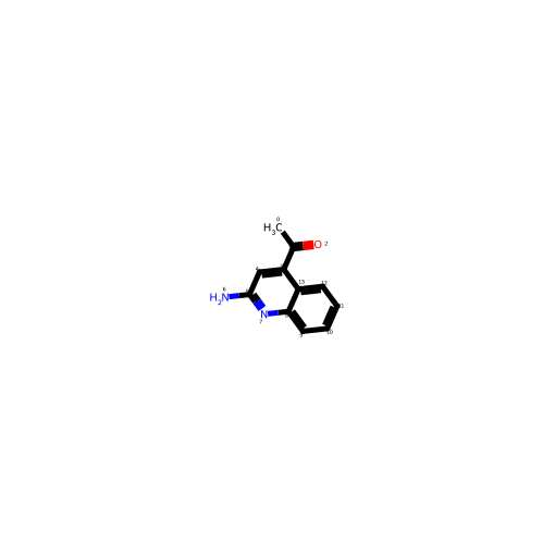 CC(=O)c1cc(N)nc2ccccc12